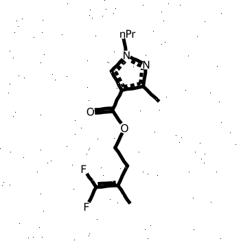 CCCn1cc(C(=O)OCCC(C)=C(F)F)c(C)n1